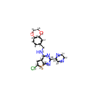 Clc1cc2c(NCc3ccc4c(c3)OCCO4)nc(-c3cnccn3)nc2s1